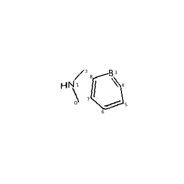 CNC.b1ccccc1